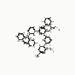 Cc1ccc(-c2cccc(-c3nc(C4=CC=CC(c5c6ccccc6cc6ccccc56)C4)nc4c3CC(C)c3ccccc3-4)c2)c(C)n1